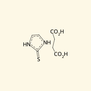 O=C(O)CCC(=O)O.S=c1[nH]cc[nH]1